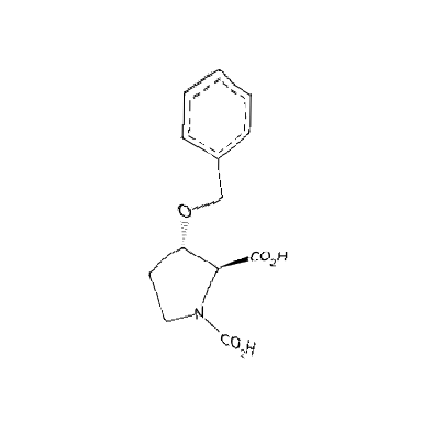 O=C(O)[C@@H]1[C@@H](OCc2ccccc2)CCN1C(=O)O